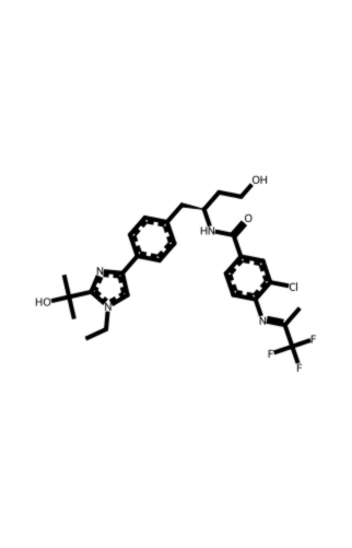 CCn1cc(-c2ccc(C[C@@H](CCO)NC(=O)c3ccc(/N=C(\C)C(F)(F)F)c(Cl)c3)cc2)nc1C(C)(C)O